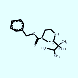 CC(C)[C@@](C)(O)[C@@H]1CN(C(=O)OCc2ccccc2)CCN1